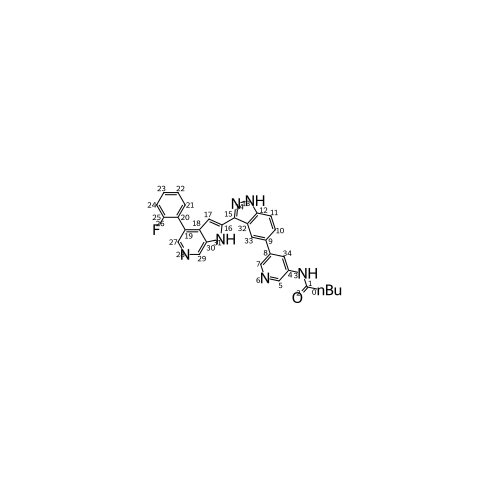 CCCCC(=O)Nc1cncc(-c2ccc3[nH]nc(-c4cc5c(-c6ccccc6F)cncc5[nH]4)c3c2)c1